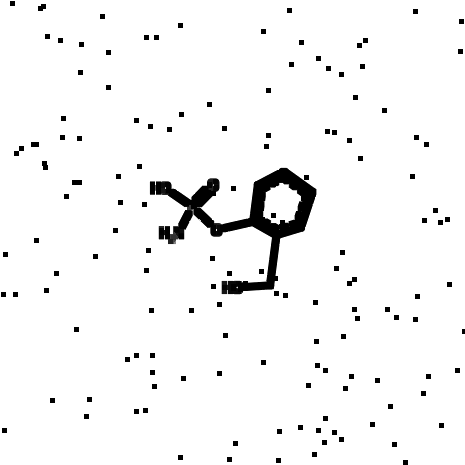 NP(=O)(O)Oc1ccccc1CO